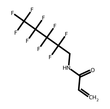 C=CC(=O)NCC(F)(F)C(F)(F)C(F)(F)C(F)(F)F